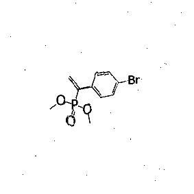 C=C(c1ccc(Br)cc1)P(=O)(OC)OC